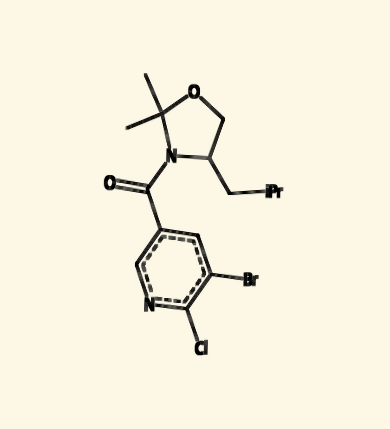 CC(C)CC1COC(C)(C)N1C(=O)c1cnc(Cl)c(Br)c1